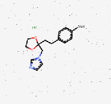 COc1ccc(CCC2(Cn3ccnc3)OCCO2)cc1.Cl